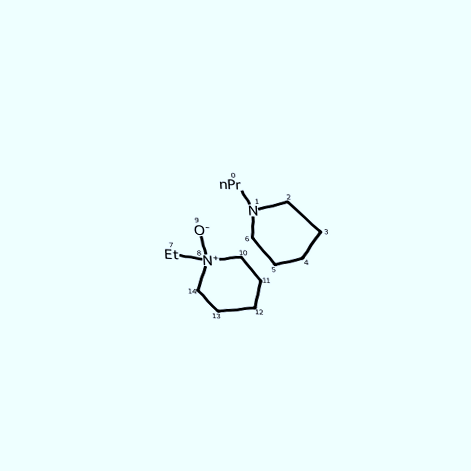 CCCN1CCCCC1.CC[N+]1([O-])CCCCC1